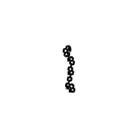 c1cnc2c(c1)ccc1ccc(-c3ccc4ccc(-c5ccc6nc(-c7ccc(-c8ccnc9c8ccc8cccnc89)cc7)ccc6c5)cc4n3)nc12